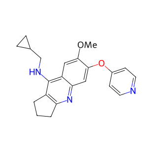 COc1cc2c(NCC3CC3)c3c(nc2cc1Oc1ccncc1)CCC3